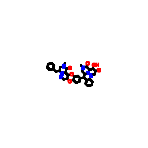 CN1CC(Cc2ccccc2)n2ncc(=O)c(Oc3cccc(C(c4ccccc4)C4CN(C)C(=O)c5c(O)c(=O)cnn54)c3)c2C1=O